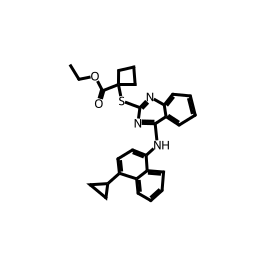 CCOC(=O)C1(Sc2nc(Nc3ccc(C4CC4)c4ccccc34)c3ccccc3n2)CCC1